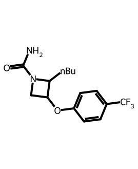 CCCCC1C(Oc2ccc(C(F)(F)F)cc2)CN1C(N)=O